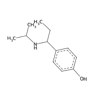 CCC(NC(C)C)c1ccc(O)cc1